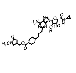 CN1CC(COC(=O)N2CCC(CCCc3nc(N)c4ncn([C@@H]5O[C@H](C(=O)NC6CC6)[C@H](O)C5O)c4n3)CC2)CC1=O